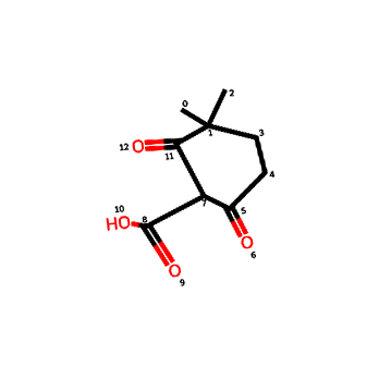 CC1(C)CCC(=O)C(C(=O)O)C1=O